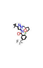 Cn1c(C2(C)CC2)c/c(=N\C(=O)c2cc(C(F)(F)F)ccc2F)n1C[C@H]1CCCO1